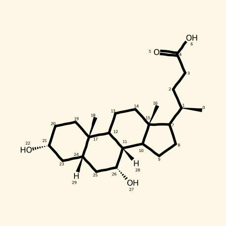 C[C@H](CCC(=O)O)C1CCC2[C@H]3C(CC[C@@]21C)[C@@]1(C)CC[C@@H](O)C[C@H]1C[C@H]3O